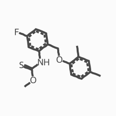 COC(=S)Nc1cc(F)ccc1COc1ccc(C)cc1C